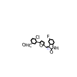 O=Cc1ccc(Cl)c(-c2ccc(/C=C3/C(=O)Nc4ccc(F)cc43)o2)c1